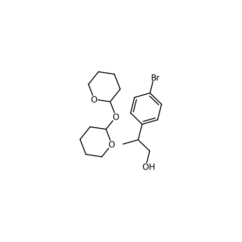 C1CCC(OC2CCCCO2)OC1.CC(CO)c1ccc(Br)cc1